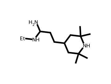 CCNC(N)CCC1CC(C)(C)NC(C)(C)C1